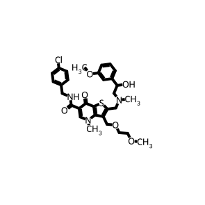 COCCOCc1c(CN(C)CC(O)c2cccc(OC)c2)sc2c(=O)c(C(=O)NCc3ccc(Cl)cc3)cn(C)c12